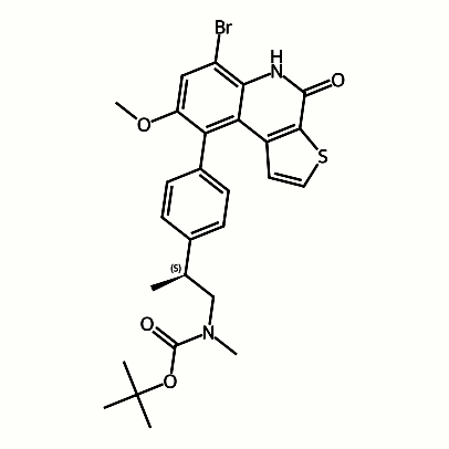 COc1cc(Br)c2[nH]c(=O)c3sccc3c2c1-c1ccc([C@H](C)CN(C)C(=O)OC(C)(C)C)cc1